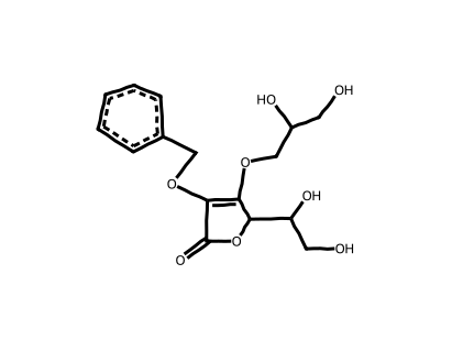 O=C1OC(C(O)CO)C(OCC(O)CO)=C1OCc1ccccc1